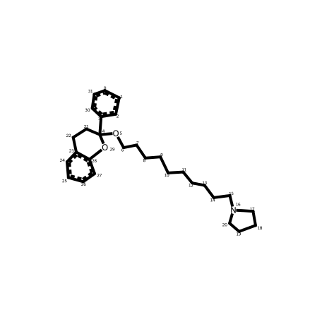 c1ccc(C2(OCCCCCCCCCCN3CCCC3)CCc3ccccc3O2)cc1